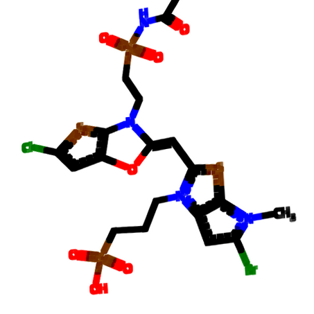 CC(=O)NS(=O)(=O)CCN1C(=Cc2sc3c(cc(Br)n3C)[n+]2CCCS(=O)(=O)O)Oc2cc(Cl)sc21